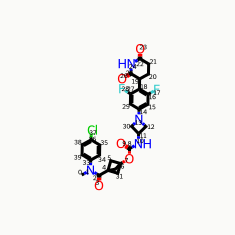 CN(C(=O)C12CC(OC(=O)NC3CN(c4cc(F)c(C5CCC(=O)NC5=O)c(F)c4)C3)(C1)C2)c1ccc(Cl)cc1